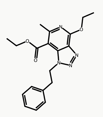 CCOC(=O)c1c(C)nc(OCC)c2nnn(CCc3ccccc3)c12